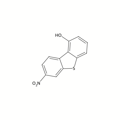 O=[N+]([O-])c1ccc2c(c1)sc1cccc(O)c12